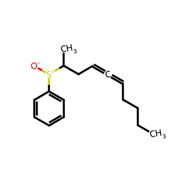 CCCCC=C=CCC(C)[S+]([O-])c1ccccc1